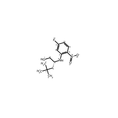 CC(C)(C)C[C@H](CO)Nc1cc(F)ccc1[N+](=O)[O-]